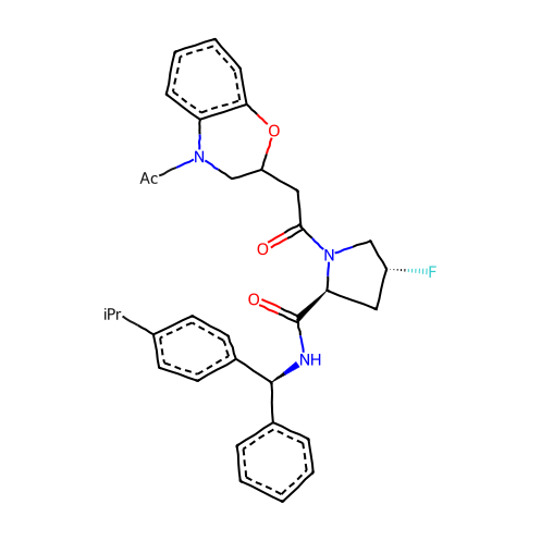 CC(=O)N1CC(CC(=O)N2C[C@H](F)C[C@H]2C(=O)N[C@@H](c2ccccc2)c2ccc(C(C)C)cc2)Oc2ccccc21